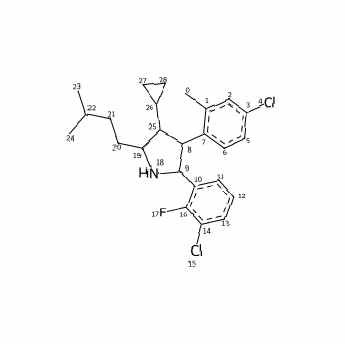 Cc1cc(Cl)ccc1C1C(c2cccc(Cl)c2F)NC(CCC(C)C)C1C1CC1